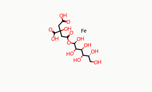 O=C(O)CC(O)(CC(=O)OC(O)[C@H](O)[C@@H](O)[C@H](O)[C@H](O)CO)C(=O)O.[Fe]